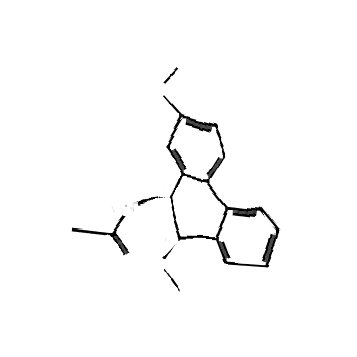 COc1ccc2c(c1)[C@H](NC(C)=O)[C@H](OC)c1ccccc1-2